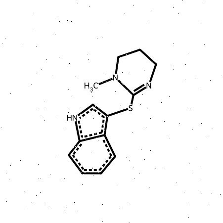 CN1CCCN=C1Sc1c[nH]c2ccccc12